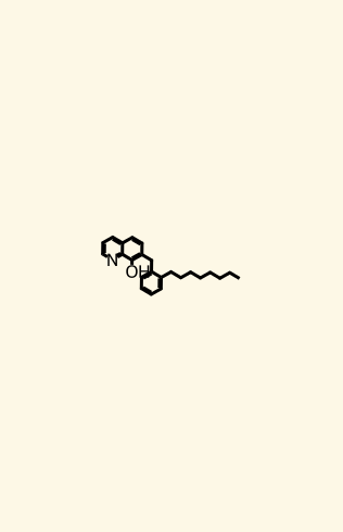 CCCCCCCCc1ccccc1Cc1ccc2cccnc2c1O